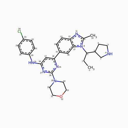 CCC(C1CCNC1)n1c(C)nc2ccc(-c3cc(Nc4ccc(Cl)cc4)nc(N4CCOCC4)n3)cc21